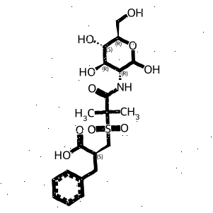 CC(C)(C(=O)N[C@H]1C(O)O[C@H](CO)[C@@H](O)[C@@H]1O)S(=O)(=O)C[C@@H](Cc1ccccc1)C(=O)O